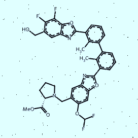 COC(=O)[C@@H]1CCCN1Cc1cc2nc(-c3cccc(-c4cccc(-c5nc6cc(CO)c(F)c(F)c6o5)c4C)c3C)oc2cc1OC(F)F